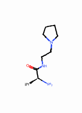 CC(C)[C@H](N)C(=O)NCCN1CCCC1